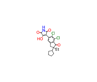 CCC1(C2CCCC2)Cc2cc(C3=C(O)C(=O)NC3=O)c(Cl)c(Cl)c2C1=O